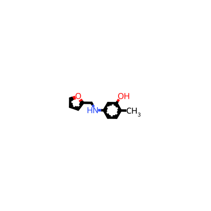 Cc1ccc(NCc2ccco2)cc1O